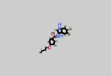 CCCCOc1ccc(C(=O)Nc2c[nH]c3cc(F)c(F)cc23)cc1